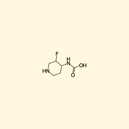 O=C(O)NC1CCNCC1F